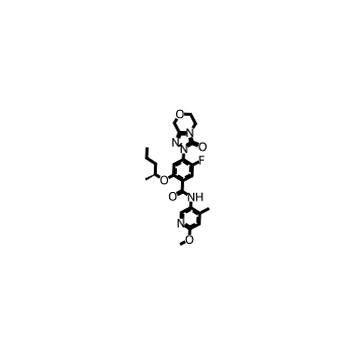 CCC[C@H](C)Oc1cc(-n2nc3n(c2=O)CCOC3)c(F)cc1C(=O)Nc1cnc(OC)cc1C